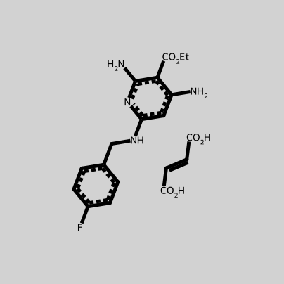 CCOC(=O)c1c(N)cc(NCc2ccc(F)cc2)nc1N.O=C(O)C=CC(=O)O